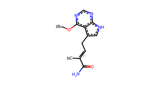 CC(C)(C)Oc1ncnc2[nH]cc(C/C=C(\C#N)C(N)=O)c12